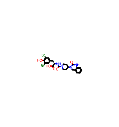 O=C(O)[C@@H](Cc1cc(Br)c(O)c(Br)c1)NC(=O)N1CCC(N2Cc3ccccc3NC2=O)CC1